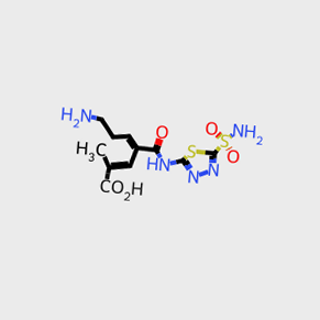 C/C(=C\C(=C/CCN)C(=O)Nc1nnc(S(N)(=O)=O)s1)C(=O)O